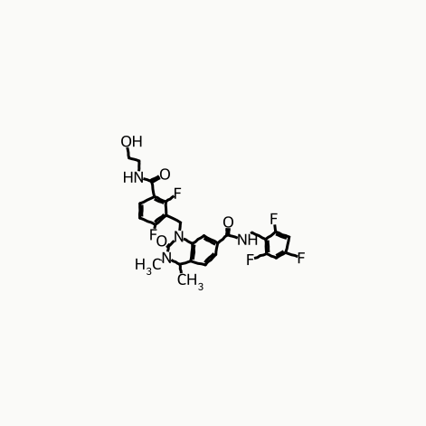 CC1c2ccc(C(=O)NCc3c(F)cc(F)cc3F)cc2N(Cc2c(F)ccc(C(=O)NCCO)c2F)C(=O)N1C